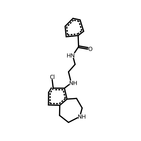 O=C(NCCNc1c(Cl)ccc2c1CCNCC2)c1ccccc1